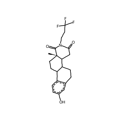 C[C@]12CCC3c4ccc(O)cc4CCC3C1CC(=O)N(CCC(F)(F)F)C2=O